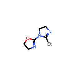 CCC1=NCCN1C1=NCCO1